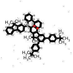 CC(C)(C)c1ccc(-c2cc(-c3ccc(C(C)(C)C)cc3)c3c(c2)-c2ccc(N(c4ccc5c(c4)C(C)(C)c4ccccc4-5)c4ccccc4-c4ccccc4)cc2C3(C)C)cc1